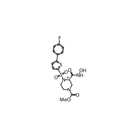 COC(=O)N1CCN(S(=O)(=O)c2ccc(-c3ccc(F)cc3)s2)[C@@H](C(=O)NO)C1